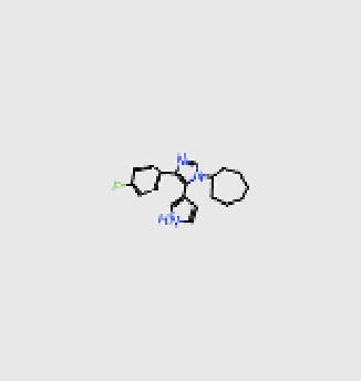 Fc1ccc(-c2ncn(C3CCCCCC3)c2-c2cc[nH]c2)cc1